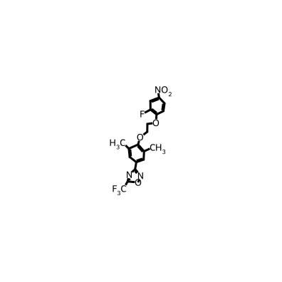 Cc1cc(-c2noc(C(F)(F)F)n2)cc(C)c1OCCOc1ccc([N+](=O)[O-])cc1F